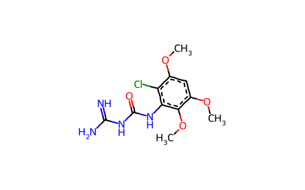 COc1cc(OC)c(OC)c(NC(=O)NC(=N)N)c1Cl